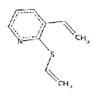 C=CSc1ncccc1C=C